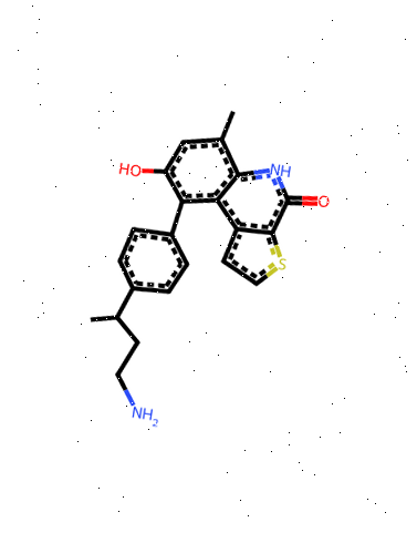 Cc1cc(O)c(-c2ccc(C(C)CCN)cc2)c2c1[nH]c(=O)c1sccc12